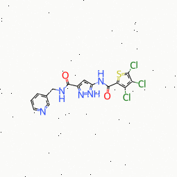 O=C(NCc1cccnc1)c1cc(NC(=O)c2sc(Cl)c(Cl)c2Cl)[nH]n1